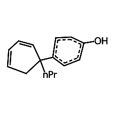 CCCC1(c2ccc(O)cc2)C=CC=CC1